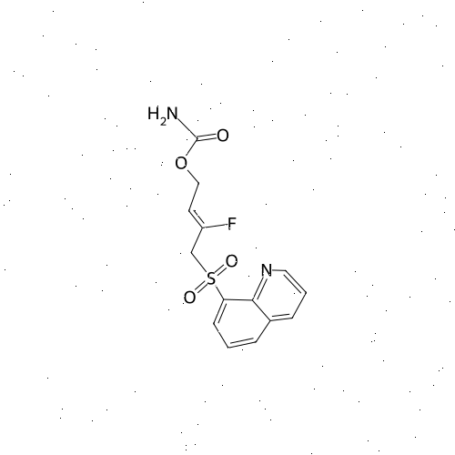 NC(=O)OCC=C(F)CS(=O)(=O)c1cccc2cccnc12